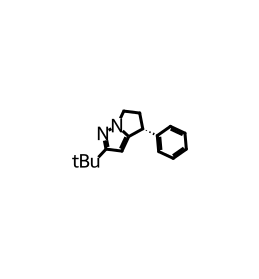 CC(C)(C)c1cc2n(n1)CC[C@@H]2c1ccccc1